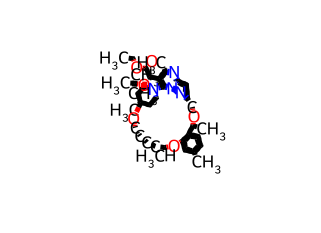 CCOC(=O)[C@@H](OC(C)(C)C)c1c(C)nc2cc3nn2c1N1CCC(C)(CC1)OCCCC[C@H](C)Oc1cc(C)ccc1C(C)OC3